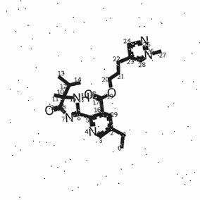 CCc1cnc(C2=NC(=O)C(C)(C(C)C)N2)c(C(=O)OCCCc2cnn(C)c2)c1